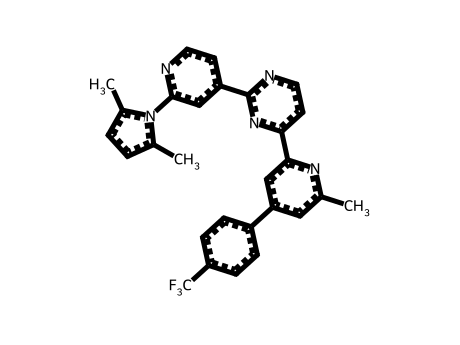 Cc1cc(-c2ccc(C(F)(F)F)cc2)cc(-c2ccnc(-c3ccnc(-n4c(C)ccc4C)c3)n2)n1